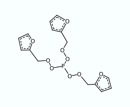 c1coc(COOP(OOCc2ccco2)OOCc2ccco2)c1